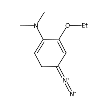 CCOC1=CC(=[N+]=[N-])CC=C1N(C)C